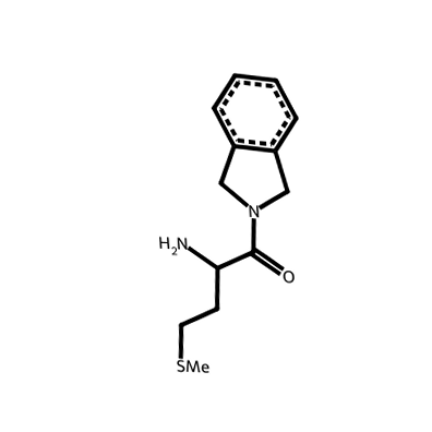 CSCCC(N)C(=O)N1Cc2ccccc2C1